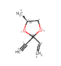 C#CC1(C=C)OC[C@H](C)O1